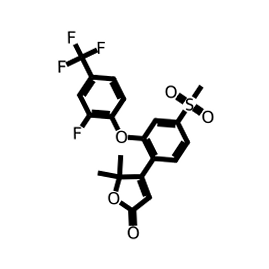 CC1(C)OC(=O)C=C1c1ccc(S(C)(=O)=O)cc1Oc1ccc(C(F)(F)F)cc1F